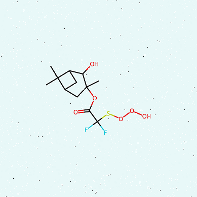 CC1(OC(=O)C(F)(F)SOOO)CC2CC(C1O)C2(C)C